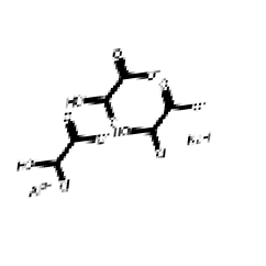 O=C([O-])C(O)Cl.O=C([O-])C(O)Cl.O=C([O-])C(O)Cl.[Al+3].[NaH]